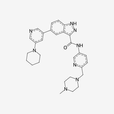 CN1CCN(Cc2ccc(NC(=O)c3n[nH]c4ccc(-c5cncc(N6CCCCC6)c5)cc34)cn2)CC1